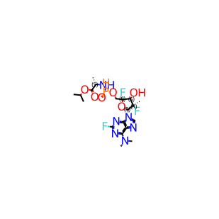 CC(C)OC(=O)[C@H](C)N[PH](=O)OC[C@@]1(F)O[C@@H](n2cnc3c(N(C)C)nc(F)nc32)[C@](C)(F)[C@@H]1O